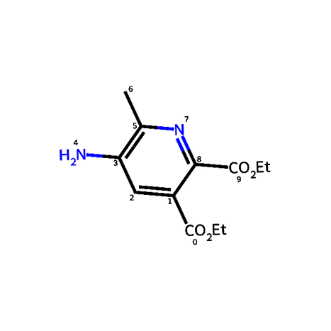 CCOC(=O)c1cc(N)c(C)nc1C(=O)OCC